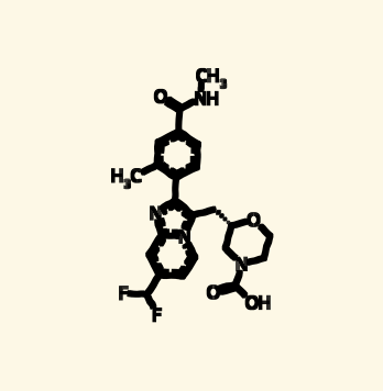 CNC(=O)c1ccc(-c2nc3cc(C(F)F)ccn3c2C[C@H]2CN(C(=O)O)CCO2)c(C)c1